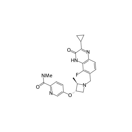 CNC(=O)c1ccc(O[C@H]2CN(Cc3ccc4nc(C5CC5)c(=O)[nH]c4c3F)[C@@H]2C)cn1